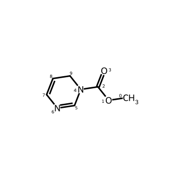 COC(=O)N1C=NC=CC1